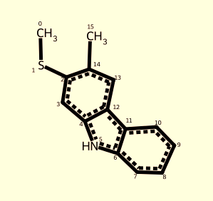 CSc1cc2[nH]c3ccccc3c2cc1C